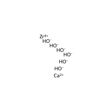 [Ca+2].[OH-].[OH-].[OH-].[OH-].[OH-].[OH-].[Zr+4]